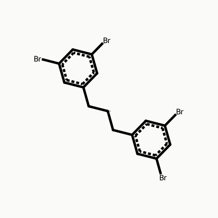 Brc1cc(Br)cc(C[CH]Cc2cc(Br)cc(Br)c2)c1